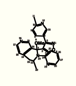 COC1(c2conc2-c2ccc(C)nc2)c2cnccc2CC(C)N1c1ccccn1